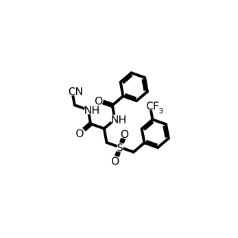 N#CCNC(=O)C(CS(=O)(=O)Cc1cccc(C(F)(F)F)c1)NC(=O)c1ccccc1